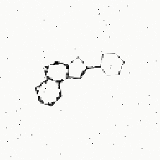 [CH]1C(C2CCCCC2)=Cc2c1ccc1ccccc21